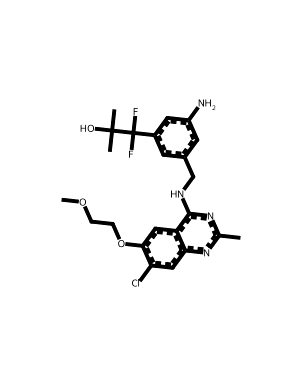 COCCOc1cc2c(NCc3cc(N)cc(C(F)(F)C(C)(C)O)c3)nc(C)nc2cc1Cl